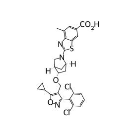 Cc1cc(C(=O)O)cc2sc(N3C[C@H]4C[C@@H]3C[C@@H]4OCc3c(-c4c(Cl)cccc4Cl)noc3C3CC3)nc12